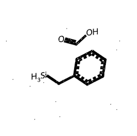 O=CO.[SiH3]Cc1ccccc1